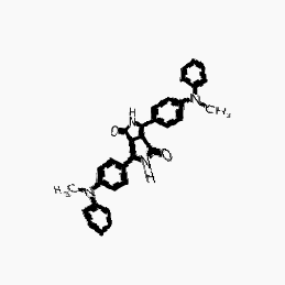 CN(c1ccccc1)c1ccc(C2=C3C(=O)NC(c4ccc(N(C)c5ccccc5)cc4)=C3C(=O)N2)cc1